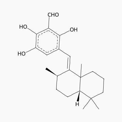 C[C@@H]1CC[C@H]2C(C)(C)CCCC2(C)/C1=C/c1cc(O)c(O)c(C=O)c1O